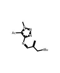 C=C(/C=N\c1nnn(C)c1C(C)=O)CC(C)(C)C